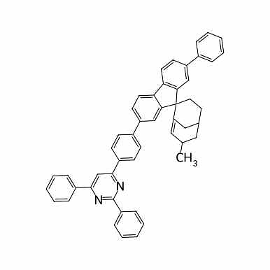 CC1C=C2CC(CCC23c2cc(-c4ccccc4)ccc2-c2ccc(-c4ccc(-c5cc(-c6ccccc6)nc(-c6ccccc6)n5)cc4)cc23)C1